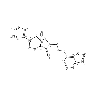 O=C1C(CCCc2cccc3ncsc23)C[C@H]2CN(c3cccnc3)CCN12